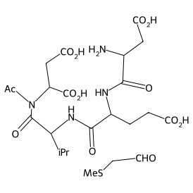 CC(=O)N(C(=O)C(NC(=O)C(CCC(=O)O)NC(=O)C(N)CC(=O)O)C(C)C)C(CC(=O)O)C(=O)O.CSCC=O